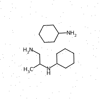 CC(CN)NC1CCCCC1.NC1CCCCC1